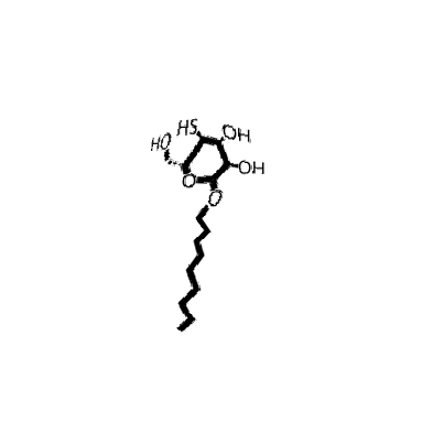 CCCCCCCCCOC1O[C@H](CO)[C@@H](S)[C@H](O)[C@H]1O